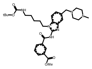 COC(=O)c1cccc(C(=O)Nc2nc3cc(CN4CCN(C)CC4)ccc3n2CCCCCNC(=O)OC(C)(C)C)c1